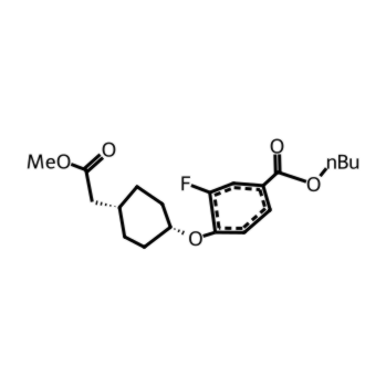 CCCCOC(=O)c1ccc(O[C@H]2CC[C@@H](CC(=O)OC)CC2)c(F)c1